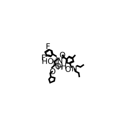 CCCN(CCC)C(=O)c1cc(C)cc(C(=O)N[C@@H](Cc2cc(F)cc(F)c2)[C@@H](O)[C@H](O)COCC2CCCC2)c1